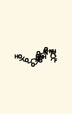 Cc1cc(Nc2nc(C(=O)NS(=O)(=O)N3CCOC(COCC(C)(C)O)CC3)co2)c(C)cc1F